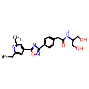 Cc1cc(-c2nc(-c3ccc(CC(=O)NC(CO)CO)cc3)no2)cc(CC(C)C)n1